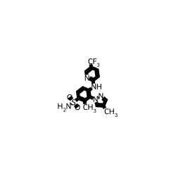 Cc1cnn(-c2c(Nc3ccc(C(F)(F)F)cn3)ccc(S(N)(=O)=O)c2C)c1